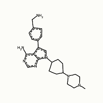 CN1CCN(C2CCC(n3cc(-c4ccc(CN)cc4)c4c(N)ncnc43)CC2)CC1